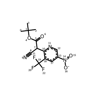 CC(C)(C)OC(=O)C(C#N)c1ncc([N+](=O)[O-])cc1C(F)(F)F